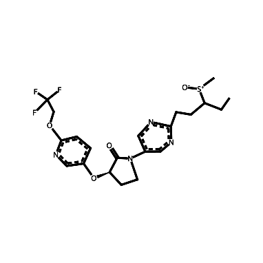 CCC(CCc1ncc(N2CC[C@@H](Oc3ccc(OCC(F)(F)F)nc3)C2=O)cn1)[S+](C)[O-]